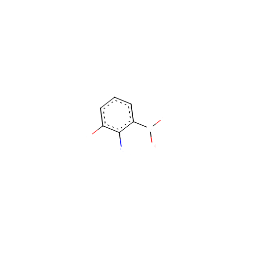 Nc1c(O)cccc1B(O)O